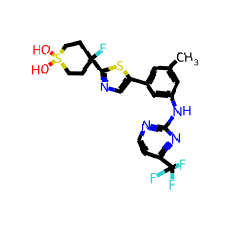 Cc1cc(Nc2nccc(C(F)(F)F)n2)cc(-c2cnc(C3(F)CCS(O)(O)CC3)s2)c1